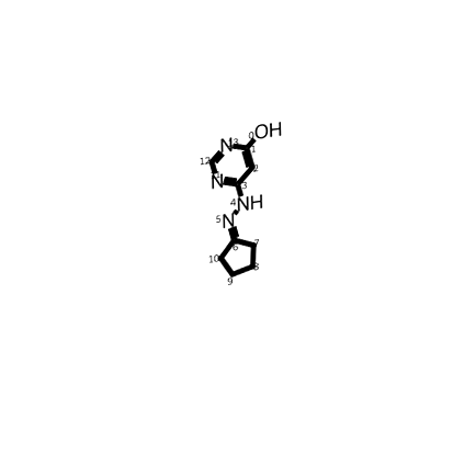 Oc1cc(NN=C2CCCC2)ncn1